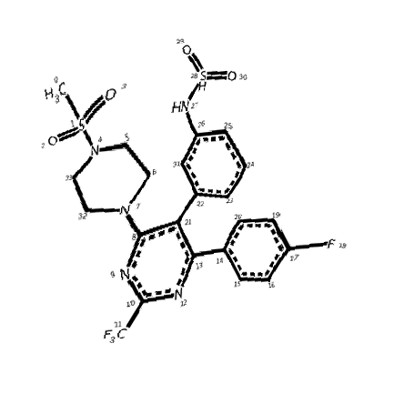 CS(=O)(=O)N1CCN(c2nc(C(F)(F)F)nc(-c3ccc(F)cc3)c2-c2cccc(N[SH](=O)=O)c2)CC1